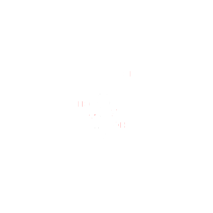 O=c1c(-c2ccccc2)c(O)oc2cc(CCCO)cc(O)c12